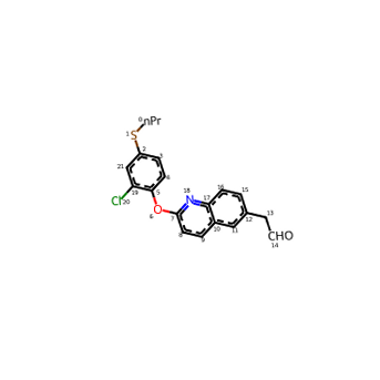 CCCSc1ccc(Oc2ccc3cc(CC=O)ccc3n2)c(Cl)c1